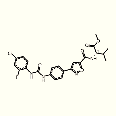 COC(=O)[C@@H](NC(=O)c1cc(-c2ccc(NC(=O)Nc3ccc(Cl)cc3F)cc2)no1)C(C)C